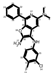 CN(C)c1cc2c(Nc3ccc(F)c(Cl)c3)c(N)oc2c(-c2ccccc2)n1